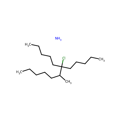 CCCCCC(C)C(Cl)(CCCCC)CCCCC.N